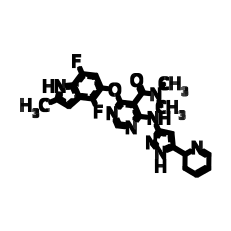 Cc1cc2c(F)c(Oc3ncnc(Nc4cc(C5CC=CC=N5)[nH]n4)c3C(=O)N(C)C)cc(F)c2[nH]1